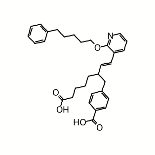 O=C(O)CCCCC(/C=C/c1cccnc1OCCCCCc1ccccc1)Cc1ccc(C(=O)O)cc1